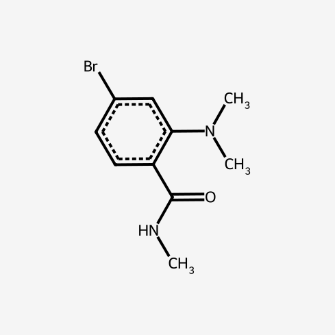 CNC(=O)c1ccc(Br)cc1N(C)C